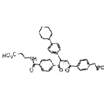 CC(C)Cc1ccc(C(=O)/C=C(\C(=O)c2ccc(C(=O)NCCC(=O)O)cc2)c2ccc(C3CCCCC3)cc2)cc1